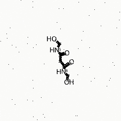 O=C(CC(=O)NCO)NCO